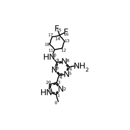 Cc1nc(-c2nc(N)nc(NC3CCC(F)(F)CC3)n2)c[nH]1